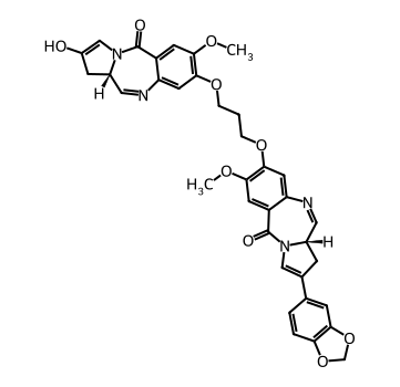 COc1cc2c(cc1OCCCOc1cc3c(cc1OC)C(=O)N1C=C(c4ccc5c(c4)OCO5)C[C@H]1C=N3)N=C[C@@H]1CC(O)=CN1C2=O